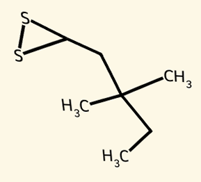 CCC(C)(C)CC1SS1